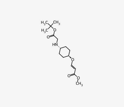 COC(=O)C=CO[C@H]1CC[C@H](NCC(=O)OC(C)(C)C)CC1